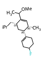 COC(C)C1=C[C@H](C)[C@H](C2=CCC(F)CC2)C[C@@H]1CC(C)C